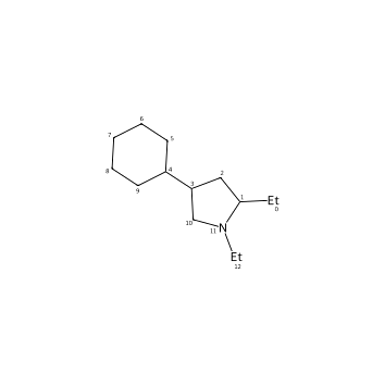 CCC1CC(C2CCCCC2)CN1CC